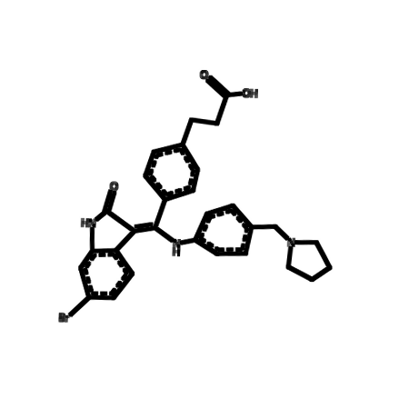 O=C(O)CCc1ccc(C(Nc2ccc(CN3CCCC3)cc2)=C2C(=O)Nc3cc(Br)ccc32)cc1